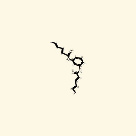 C/C=C/C=C/C(=O)Oc1cccc(OC(=O)/C=C/C=C/C)c1